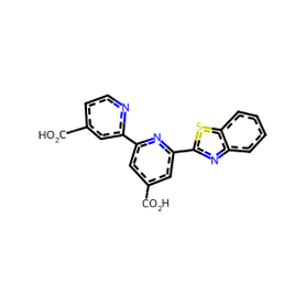 O=C(O)c1ccnc(-c2cc(C(=O)O)cc(-c3nc4ccccc4s3)n2)c1